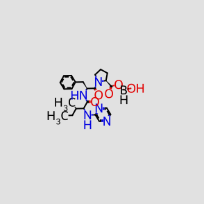 CC[C@H](C)[C@H](Nc1cnccn1)C(=O)N[C@@H](Cc1ccccc1)C(=O)N1CCC[C@H]1C(=O)OBO